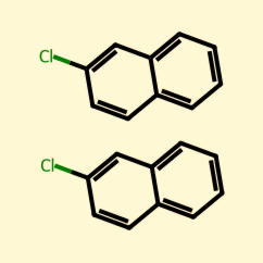 Clc1ccc2ccccc2c1.Clc1ccc2ccccc2c1